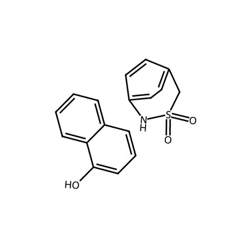 O=S1(=O)Cc2ccc(cc2)N1.Oc1cccc2ccccc12